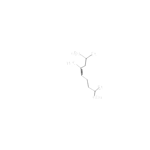 CCCCC(CC)CCC=C(C)CC(CC)CCCC